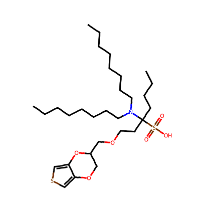 CCCCCCCCN(CCCCCCCC)C(CCCC)(CCOCC1COc2cscc2O1)S(=O)(=O)O